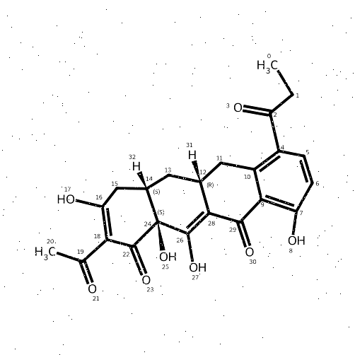 CCC(=O)c1ccc(O)c2c1C[C@H]1C[C@H]3CC(O)=C(C(C)=O)C(=O)[C@@]3(O)C(O)=C1C2=O